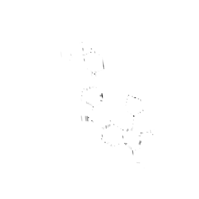 Cc1cc(O)c(C2CCCC2)c2nc(Nc3ccc(N4CCNC(C)(C)C4)cc3)ncc12